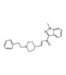 Cn1nc(C(=O)C=CC2CCN(CCc3ccccc3)CC2)c2ccccc21